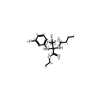 CCCC(=O)NC(Nc1cccc(F)c1)(C(=O)OCC)C(F)(F)F